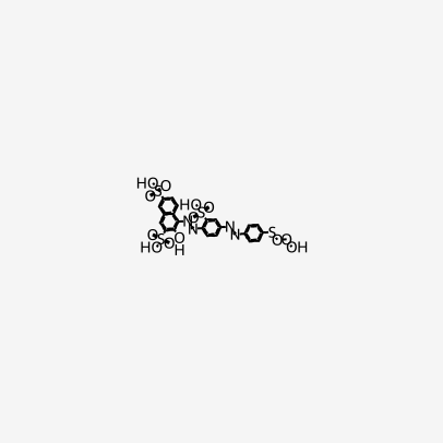 O=S(=O)(O)c1ccc2c(/N=N/c3ccc(/N=N/c4ccc(SOOO)cc4)cc3S(=O)(=O)O)c(O)c(S(=O)(=O)O)cc2c1